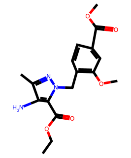 CCOC(=O)c1c(N)c(C)nn1Cc1ccc(C(=O)OC)cc1OC